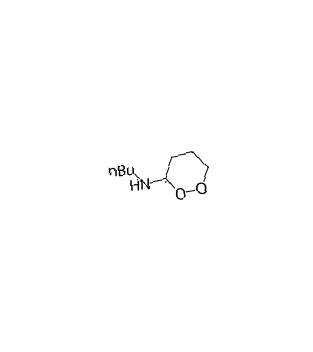 CCCCN[C]1CCCOO1